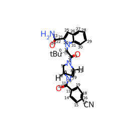 CC(C)(C)[C@@H](C(=O)N1C[C@@H]2C[C@H]1CN2C(=O)c1ccc(C#N)cc1)n1c(C(N)=O)cc2ccccc21